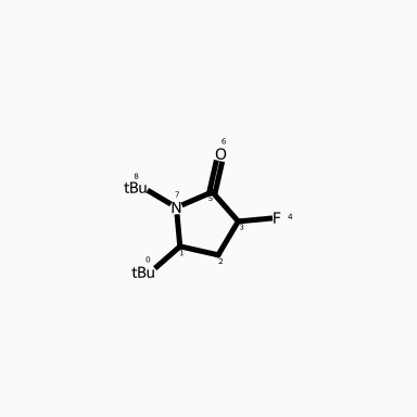 CC(C)(C)C1CC(F)C(=O)N1C(C)(C)C